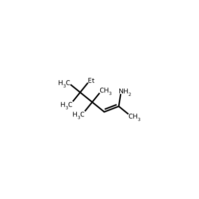 CCC(C)(C)C(C)(C)C=C(C)N